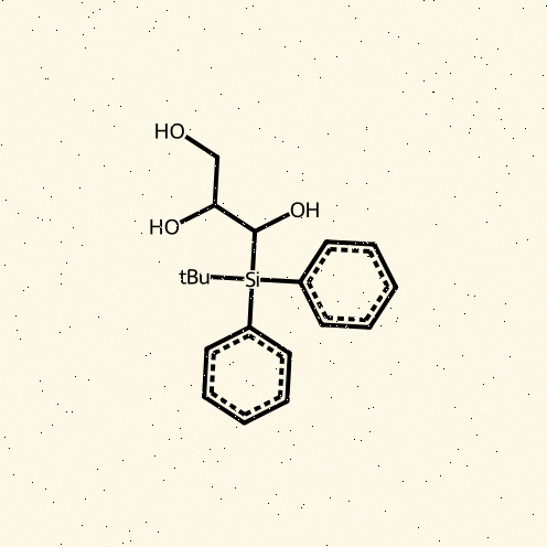 CC(C)(C)[Si](c1ccccc1)(c1ccccc1)C(O)C(O)CO